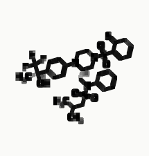 CC(C)CS(=O)(=O)N(C[C@H]1CN(S(=O)(=O)C2=CC=CCC2=S)CCN1c1ccc([C@@](C)(O)C(F)(F)F)cc1)c1ccccc1